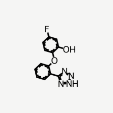 Oc1cc(F)ccc1Oc1ccccc1-c1nn[nH]n1